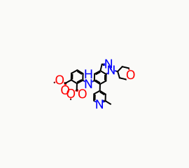 COC(=O)c1cccc(Nc2cc3cnn(C4CCOCC4)c3cc2-c2ccnc(C)c2)c1C(=O)OC